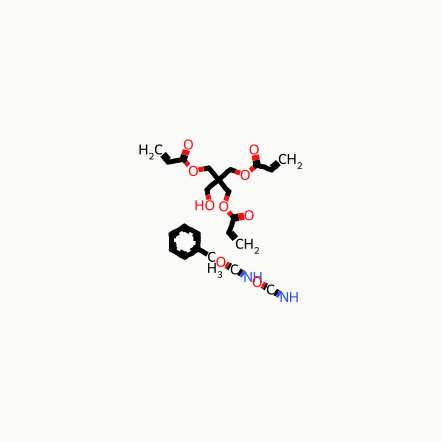 C=CC(=O)OCC(CO)(COC(=O)C=C)COC(=O)C=C.Cc1ccccc1.N=C=O.N=C=O